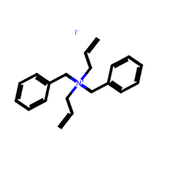 C=CC[N+](CC=C)(Cc1ccccc1)Cc1ccccc1.[I-]